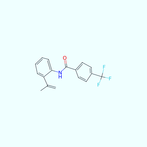 C=C(C)c1ccccc1NC(=O)c1ccc(C(F)(F)F)cc1